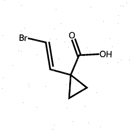 O=C(O)C1(C=CBr)CC1